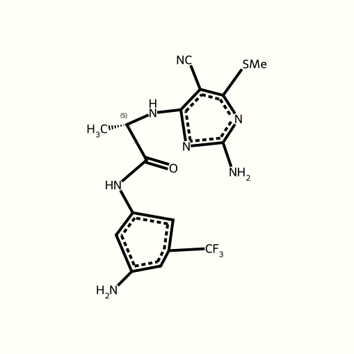 CSc1nc(N)nc(N[C@@H](C)C(=O)Nc2cc(N)cc(C(F)(F)F)c2)c1C#N